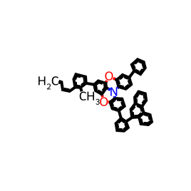 C=C/C=C\c1cccc(-c2cc3c4c(c2)Oc2cc(-c5ccccc5-c5cc6ccccc6c6ccccc56)ccc2N4c2ccc(-c4ccccc4)cc2O3)c1C